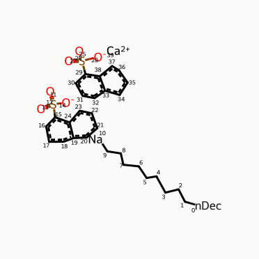 CCCCCCCCCCCCCCCCCC[CH2][Na].O=S(=O)([O-])c1cccc2ccccc12.O=S(=O)([O-])c1cccc2ccccc12.[Ca+2]